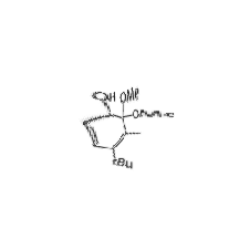 COC1(OC)C(C)=C(C(C)(C)C)C=CC1O